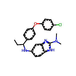 CCC(Nc1ccc2[nH]c(N(C)C)nc2c1)c1ccc(Oc2ccc(Cl)cc2)cc1